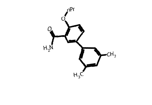 CCCOc1ccc(-c2cc(C)cc(C)c2)cc1C(N)=O